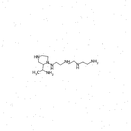 CC(N)C1CNCCN1NCCNCCNCCN